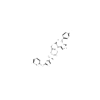 C[C@H](c1ccc(F)cc1)n1cncc1C1C(=O)OCC2CN(S(=O)(=O)c3cnc(Nc4ccc(C(F)(F)F)cn4)s3)CCN21